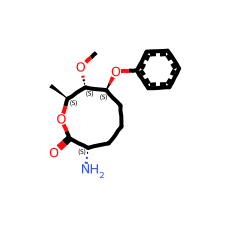 CO[C@H]1[C@H](C)OC(=O)[C@@H](N)CCC[C@@H]1Oc1ccccc1